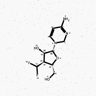 NC1=NCN([C@@H]2O[C@H](CO)[C@@H](C(F)F)[C@H]2O)C=C1